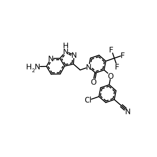 N#Cc1cc(Cl)cc(Oc2c(C(F)(F)F)ccn(Cc3n[nH]c4nc(N)ccc34)c2=O)c1